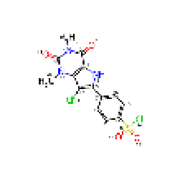 Cn1c(=O)c2[nH]c(-c3ccc(S(=O)(=O)Cl)cc3)c(Cl)c2n(C)c1=O